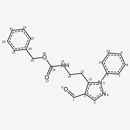 O=Cc1cnn(-c2ccccc2)c1CCNC(=O)OCc1ccccc1